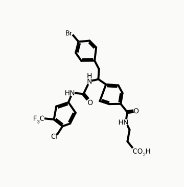 O=C(O)CCNC(=O)c1ccc(C(Cc2ccc(Br)cc2)NC(=O)Nc2ccc(Cl)c(C(F)(F)F)c2)cc1